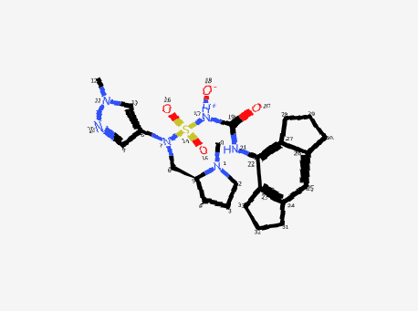 CN1CCC[C@H]1CN(c1cnn(C)c1)S(=O)(=O)[NH+]([O-])C(=O)Nc1c2c(cc3c1CCC3)CCC2